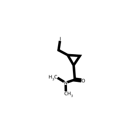 CN(C)C(=O)C1CC1CI